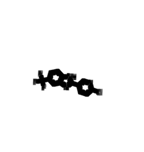 FC(F)(F)c1ccc2[nH]c(-c3ccc(Cl)nc3)nc2c1